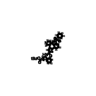 CC(C)(C)OC(=O)NCC(NC(=O)c1cc(-c2cccnc2)c(-c2ccnc3c2ccn3S(=O)(=O)c2ccccc2)s1)c1ccccc1